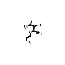 BBB(B)B(B)OCCC